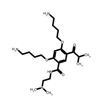 CC(C)C(=O)c1cc(C(=O)NCCN(C)C)c(OCCCCN)cc1OCCCCN